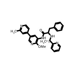 COc1ncc(-c2ccnc(C)c2)cc1NC(=O)C(Cc1ccccc1)N[C@@H](C)c1ccccn1